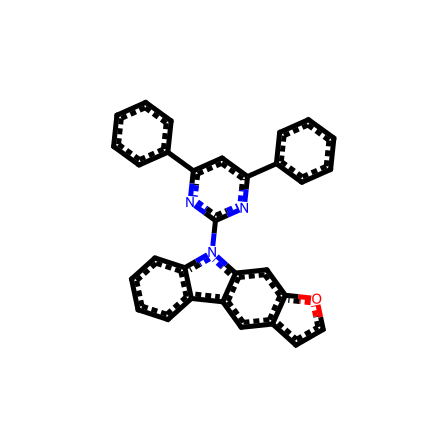 c1ccc(-c2cc(-c3ccccc3)nc(-n3c4ccccc4c4cc5ccoc5cc43)n2)cc1